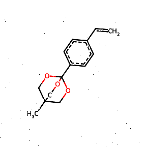 C=Cc1ccc(C23OCC(C)(CO2)CO3)cc1